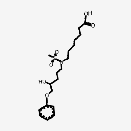 CS(=O)(=O)N(CCCCCCC(=O)O)CCCC(O)COc1ccccc1